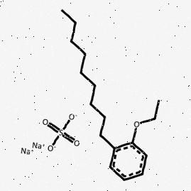 O=S(=O)([O-])[O-].[CH2]COc1ccccc1CCCCCCCCC.[Na+].[Na+]